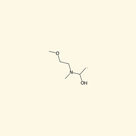 [CH2]C(O)N(C)CCOC